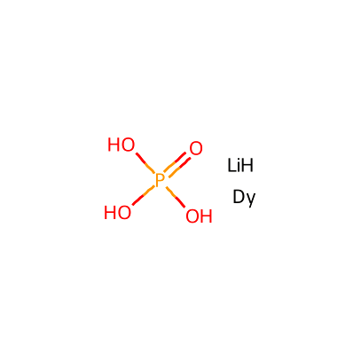 O=P(O)(O)O.[Dy].[LiH]